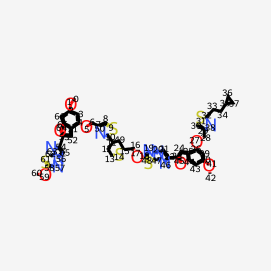 COc1cc(OCc2csc(C3CCSC(COc4nn5cc(-c6cc7c(OCc8csc(CCC9CC9)n8)cc(OC)cc7o6)nc5s4)C3)n2)c2cc(-c3cn4nc(OC)sc4n3)oc2c1